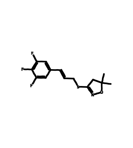 CC1(C)CC(SCC=Cc2cc(F)c(F)c(F)c2)=NO1